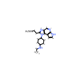 CC(=O)NCCc1nc2cnc3[nH]ccc3c2n1C1CCC(NCC(F)(F)F)CC1